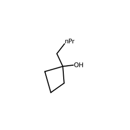 CCCCC1(O)CCC1